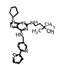 CC(C)(O)CCNc1nc(NCc2ccc(-c3cccs3)nc2)c2ncn(C3CCCC3)c2n1